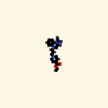 CCOC(=O)C1CCN(CCCN2Cc3nnc(C)n3-c3ccccc32)CC1